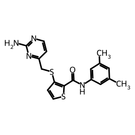 Cc1cc(C)cc(NC(=O)c2sccc2SCc2ccnc(N)n2)c1